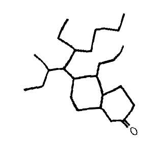 CCCCC(CC)C(C(C)CC)C1CCC2CC(=O)CCC2C1CCC